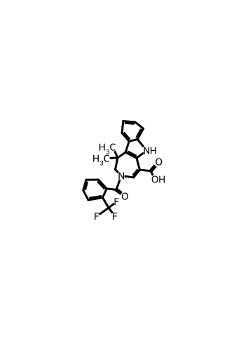 CC1(C)CN(C(=O)c2ccccc2C(F)(F)F)C=C(C(=O)O)c2[nH]c3ccccc3c21